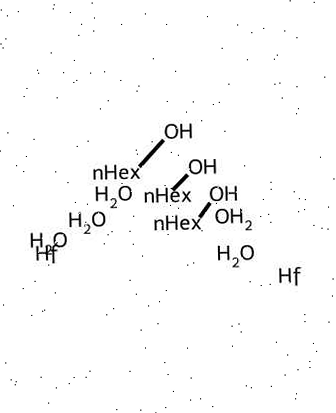 CCCCCCO.CCCCCCO.CCCCCCO.O.O.O.O.O.[Hf].[Hf]